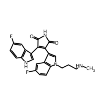 CNCCCn1cc(C2=C(c3c[nH]c4ccc(F)cc34)C(=O)NC2=O)c2cc(F)ccc21